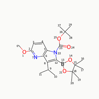 COc1ccc2c(n1)c(C(C)C)c(B1OC(C)(C)C(C)(C)O1)n2C(=O)OC(C)(C)C